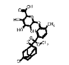 COC1(c2ccc(C)c(OC3OC(C(=O)O)C(O)C(O)C3O)c2)OOC12C1CC3CC2CC(Cl)(C3)C1